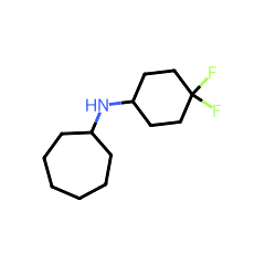 FC1(F)CCC(NC2CCCCCC2)CC1